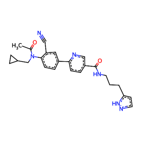 CC(=O)N(CC1CC1)c1ccc(-c2ccc(C(=O)NCCCc3ccn[nH]3)cn2)cc1C#N